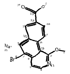 COc1nccc2c(Br)cc3cc(C(=O)[O-])ccc3c12.[Na+]